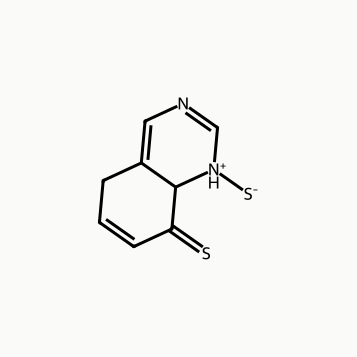 S=C1C=CCC2=CN=C[NH+]([S-])C12